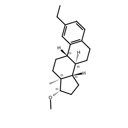 CCc1[c]cc2c(c1)[C@H]1CC[C@]3(C)[C@@H](OC)CC[C@H]3[C@@H]1CC2